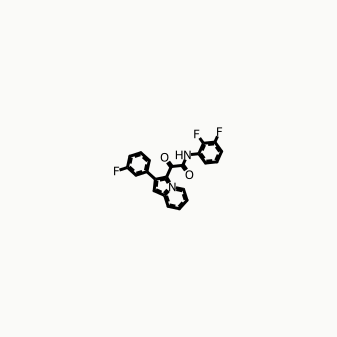 O=C(Nc1cccc(F)c1F)C(=O)c1c(-c2cccc(F)c2)cc2ccccn12